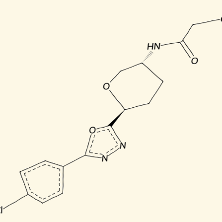 O=C(CCl)N[C@@H]1CC[C@@H](c2nnc(-c3ccc(Cl)cc3)o2)OC1